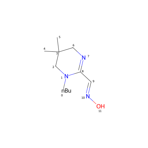 CCCCN1CC(C)(C)CN=C1C=NO